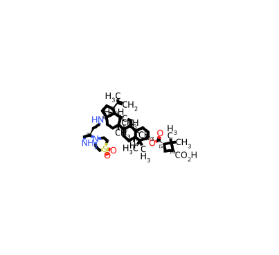 C=C(C)[C@@H]1CC[C@]2(NCC[C@H](CN)N3CCS(=O)(=O)CC3)CC[C@]3(C)[C@H](CC[C@@H]4[C@@]5(C)CC[C@H](OC(=O)[C@H]6C[C@@H](C(=O)O)C6(C)C)C(C)(C)[C@@H]5CC[C@]43C)[C@@H]12